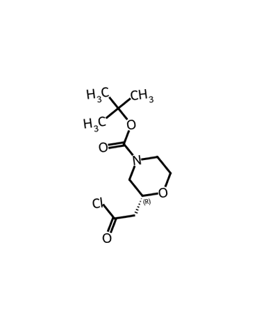 CC(C)(C)OC(=O)N1CCO[C@H](CC(=O)Cl)C1